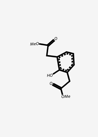 COC(=O)Cc1cccc(CC(=O)OC)c1O